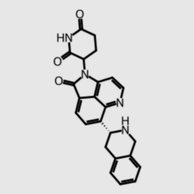 O=C1CCC(N2C(=O)c3ccc([C@H]4Cc5ccccc5CN4)c4nccc2c34)C(=O)N1